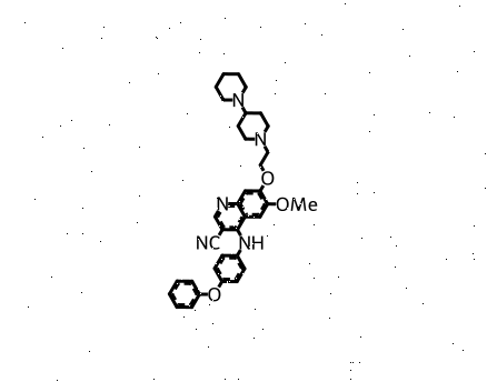 COc1cc2c(Nc3ccc(Oc4ccccc4)cc3)c(C#N)cnc2cc1OCCN1CCC(N2CCCCC2)CC1